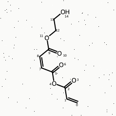 C=CC(=O)OC(=O)/C=C\C(=O)OCCO